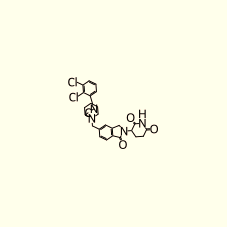 O=C1CCC(N2Cc3cc(CN4CC5CCC4CN5c4cccc(Cl)c4Cl)ccc3C2=O)C(=O)N1